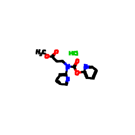 COC(=O)CCN(C(=O)Oc1ccccn1)c1ccccn1.Cl